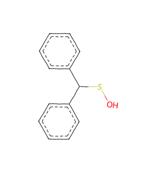 OSC(c1ccccc1)c1ccccc1